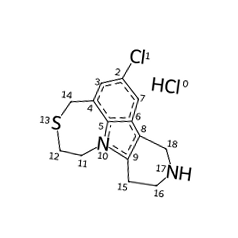 Cl.Clc1cc2c3c(c1)c1c(n3CCSC2)CCNC1